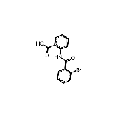 O=C(Nc1ccccc1C(=O)O)c1ccccc1Br